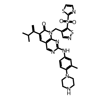 C=C(c1cc2cnc(Nc3ccc(N4CCNCC4)c(C)c3)nc2n(Cc2cnsc2S(=O)(=O)c2nccs2)c1=O)C(C)C